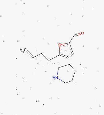 C1CCNCC1.C=CCCc1ccc(C=O)o1